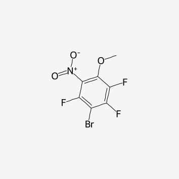 COc1c(F)c(F)c(Br)c(F)c1[N+](=O)[O-]